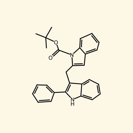 CC(C)(C)OC(=O)n1c(Cc2c(-c3ccccc3)[nH]c3ccccc23)cc2ccccc21